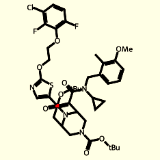 COc1cccc(CN(C(=O)C2=C(c3cnc(OCCOc4c(F)ccc(Cl)c4F)s3)CC3CN(C(=O)OC(C)(C)C)CC2N3C(=O)OC(C)(C)C)C2CC2)c1C